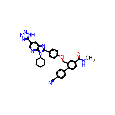 CNC(=O)c1ccc(-c2ccc(C#N)cc2)c(COc2ccc(-c3nc4cc(-c5nnn[nH]5)cnc4n3C3CCCCC3)cc2)c1